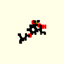 CCC(O)c1cc(OCCC(C)C)ccc1S(C)(=O)=O